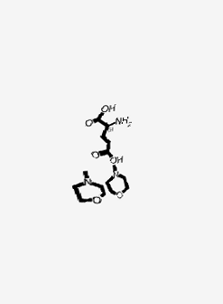 CN1CCOCC1.CN1CCOCC1.N[C@@H](CCC(=O)O)C(=O)O